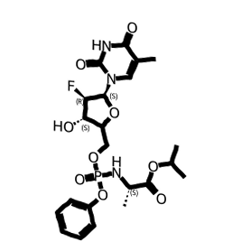 Cc1cn([C@H]2OC(COP(=O)(N[C@@H](C)C(=O)OC(C)C)Oc3ccccc3)[C@H](O)[C@H]2F)c(=O)[nH]c1=O